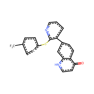 O=c1cc[nH]c2cc(-c3cccnc3Sc3ccc(C(F)(F)F)cc3)ccc12